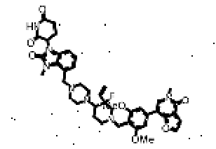 C=CC1(F)CN(Cc2c(OC)cc(-c3cn(C)c(=O)c4ccoc34)cc2OC)CCC1N1CCN(Cc2cccc3c2n(C)c(=O)n3C2CCC(=O)NC2=O)CC1